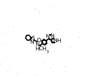 CC(NC(=O)c1nc2c(s1)CCCC2)c1ccc(-c2ncnc3[nH]ccc23)cc1